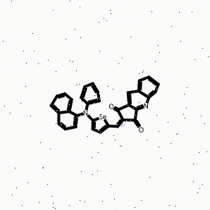 O=C1/C(=C\c2ccc(N(c3ccccc3)c3cccc4ccccc34)[se]2)C(=O)c2nc3ccccc3cc21